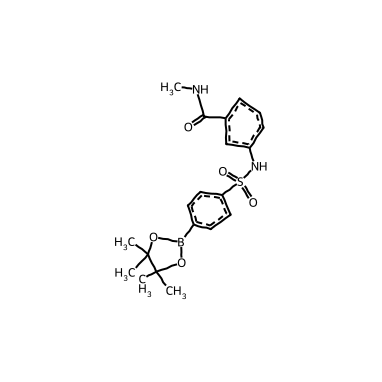 CNC(=O)c1cccc(NS(=O)(=O)c2ccc(B3OC(C)(C)C(C)(C)O3)cc2)c1